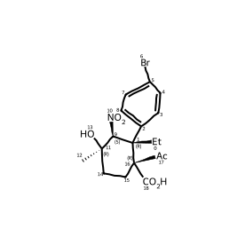 CC[C@]1(c2ccc(Br)cc2)[C@H]([N+](=O)[O-])[C@](C)(O)CC[C@@]1(C(C)=O)C(=O)O